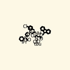 CC(C)C(=O)N(C1CCCCC1)[C@H]1CCN(NC(=O)[C@@H](Cc2ccc(Cl)cc2)NC2CN(C(=O)OC(C)(C)C)C2C(=O)OCC2c3ccccc3-c3ccccc32)C1